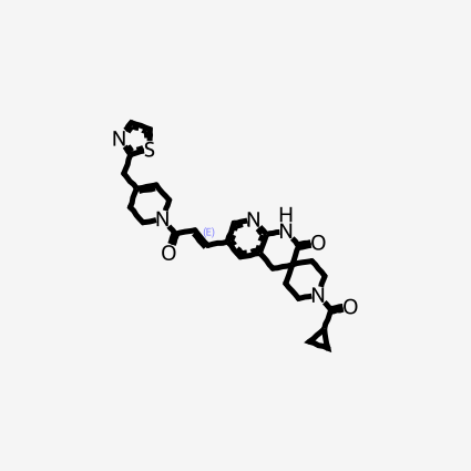 O=C(/C=C/c1cnc2c(c1)CC1(CCN(C(=O)C3CC3)CC1)C(=O)N2)N1CC=C(Cc2nccs2)CC1